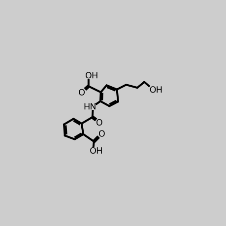 O=C(O)c1cc(CCCO)ccc1NC(=O)c1ccccc1C(=O)O